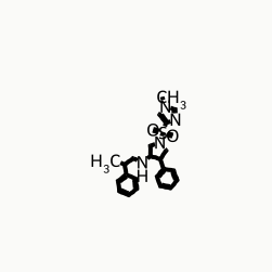 CC(CNC1CN(S(=O)(=O)c2cn(C)cn2)CC1c1ccccc1)c1ccccc1